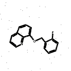 Fc1ccccc1COc1cccc2cccnc12